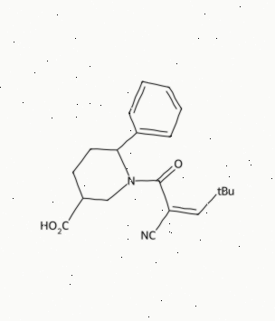 CC(C)(C)/C=C(/C#N)C(=O)N1CC(C(=O)O)CCC1c1ccccc1